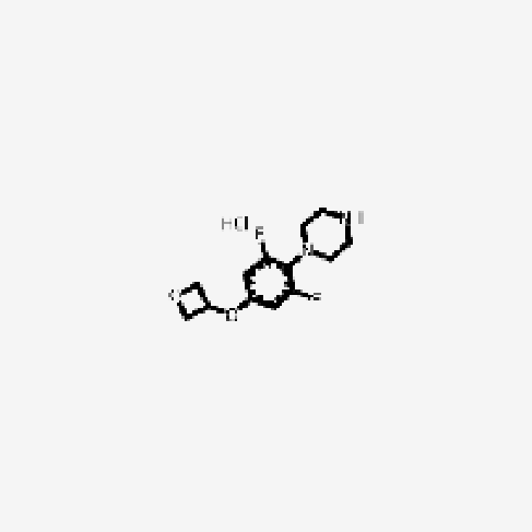 Cl.Fc1cc(OC2COC2)cc(F)c1N1CCNCC1